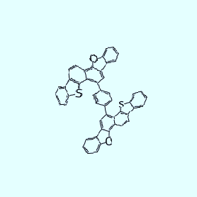 c1ccc2c(c1)oc1c2cc(-c2ccc(-c3cc4c5ccccc5oc4c4ccc5c6ccccc6sc5c34)cc2)c2c1ccc1c3ccccc3sc12